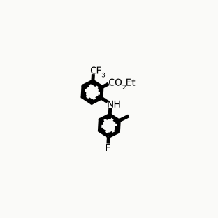 CCOC(=O)c1c(Nc2ccc(F)cc2C)cccc1C(F)(F)F